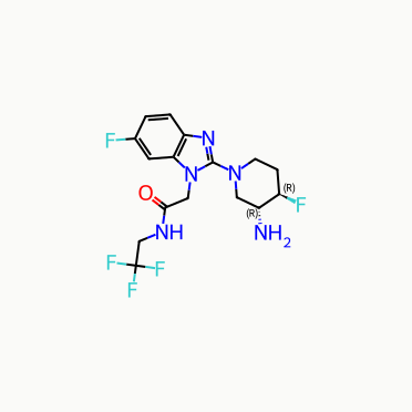 N[C@@H]1CN(c2nc3ccc(F)cc3n2CC(=O)NCC(F)(F)F)CC[C@H]1F